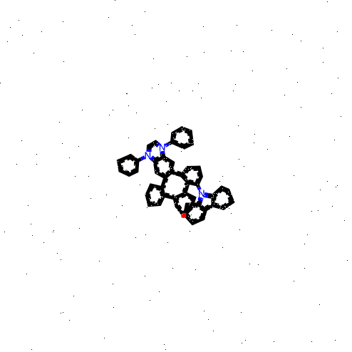 c1ccc(-n2ccn(-c3ccccc3)c3cc4c(cc32)c2ccccc2c2ccccc2c2c(-n3c5ccccc5c5ccccc53)cccc42)cc1